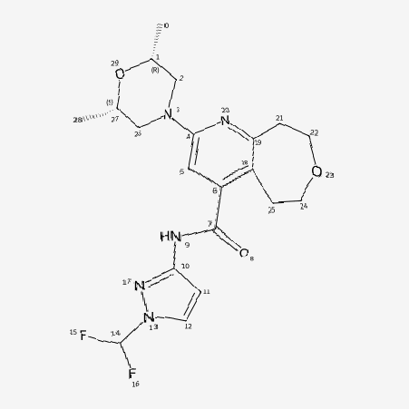 C[C@@H]1CN(c2cc(C(=O)Nc3ccn(C(F)F)n3)c3c(n2)CCOCC3)C[C@H](C)O1